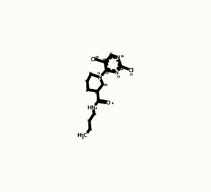 CCCCNC(=O)C1CCCN(c2nc(Cl)ncc2Cl)C1